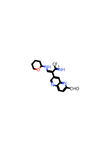 N=C(/C(=C\NC1CCCCO1)c1cnc2ccc(C=O)nc2c1)C(F)(F)F